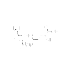 CC(=O)O.CC(=O)O.NC(CCC(=O)O)C(=O)O.[KH]